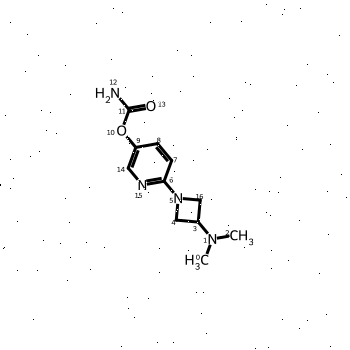 CN(C)C1CN(c2ccc(OC(N)=O)cn2)C1